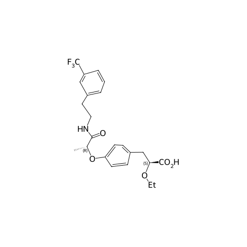 CCO[C@@H](Cc1ccc(O[C@H](C)C(=O)NCCc2cccc(C(F)(F)F)c2)cc1)C(=O)O